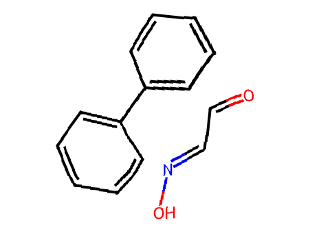 O=CC=NO.c1ccc(-c2ccccc2)cc1